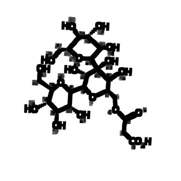 O=C(O)CC(=O)OC[C@H]1OC(C2O[C@H](CO)[C@@H](O)[C@H](O)[C@H]2O)[C@H](O)[C@](O)(C2O[C@H](CO)[C@@H](O)[C@H](O)[C@H]2O)[C]1O